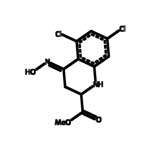 COC(=O)C1CC(=NO)c2c(Cl)cc(Cl)cc2N1